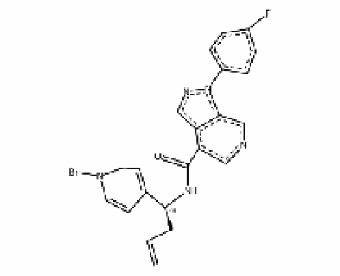 C=CC[C@H](NC(=O)c1cncc2c1cnn2-c1ccc(F)cc1)C1=CCN(Br)C=C1